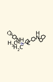 C=C/C(=C\C[C@H](C)Nc1ccc([C@@H]2C=CC=CC2)cc1)c1ccc(-c2ccc(Nc3cccc4ccccc34)cc2)cc1